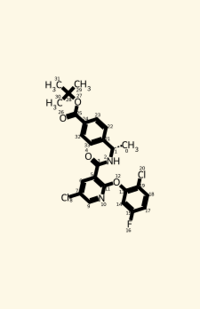 C[C@H](NC(=O)c1cc(Cl)cnc1Oc1cc(F)ccc1Cl)c1ccc(C(=O)OC(C)(C)C)cc1